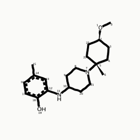 CO[C@H]1CC[C@](C)(N2CCC(Nc3cc(C)ccc3O)CC2)CC1